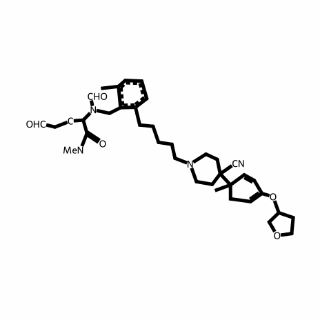 CNC(=O)C(CCC=O)N(C=O)Cc1c(C)cccc1CCCCCN1CCC(C#N)(C2(C)C=CC(OC3CCOC3)=CC2)CC1